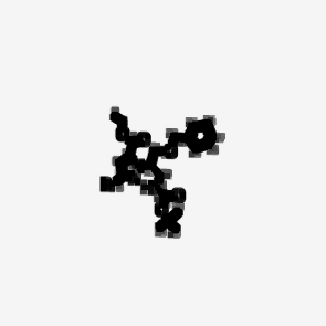 CCOC(=O)c1cc(Br)nn1[C@H](CNC(=O)OC(C)(C)C)COCc1ccccc1